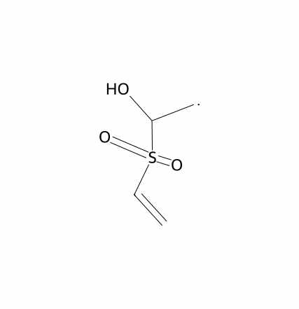 [CH2]C(O)S(=O)(=O)C=C